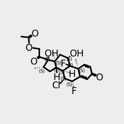 CC(=O)OCC(=O)[C@@]1(O)[C@@H](C)C[C@H]2[C@@H]3[C@H](Cl)[C@@H](F)C4=CC(=O)C=C[C@]4(C)[C@@]3(F)[C@@H](O)C[C@@]21C